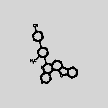 Cc1cc(-c2ccc(C#N)cc2)ccc1-c1nc2cnccc2c2c1ccc1c3ccccc3oc12